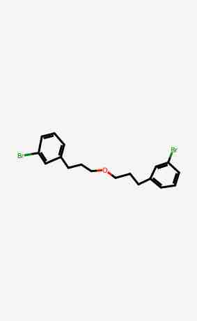 Brc1cccc(CCCOCCCc2cccc(Br)c2)c1